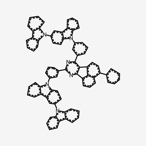 c1ccc(-c2ccc3c4c(cccc24)-c2nc(-c4cccc(-n5c6ccccc6c6cc(-n7c8ccccc8c8ccccc87)ccc65)c4)nc(-c4cccc(-n5c6ccccc6c6cc(-n7c8ccccc8c8ccccc87)ccc65)c4)c2-3)cc1